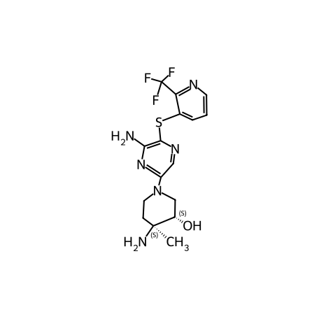 C[C@]1(N)CCN(c2cnc(Sc3cccnc3C(F)(F)F)c(N)n2)C[C@@H]1O